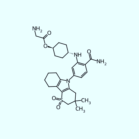 CC1(C)Cc2c(c3c(n2-c2ccc(C(N)=O)c(N[C@H]4CC[C@H](OC(=O)CN)CC4)c2)CCCC3)S(=O)(=O)C1